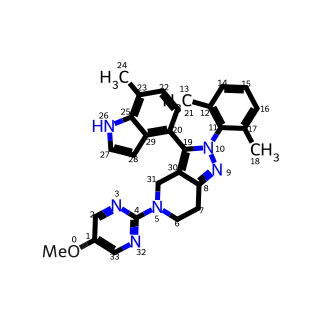 COc1cnc(N2CCc3nn(-c4c(C)cccc4C)c(-c4ccc(C)c5[nH]ccc45)c3C2)nc1